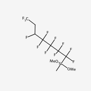 CO[Si](C)(OC)C(F)(F)C(F)(F)C(F)(F)C(F)(F)C(F)CC(F)(F)F